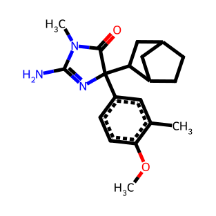 COc1ccc(C2(C3CC4CCC3C4)N=C(N)N(C)C2=O)cc1C